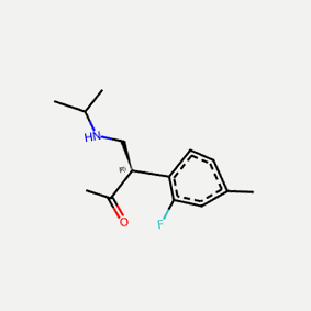 CC(=O)[C@@H](CNC(C)C)c1ccc(C)cc1F